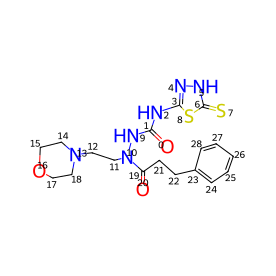 O=C(Nc1n[nH]c(=S)s1)NN(CCN1CCOCC1)C(=O)CCc1ccccc1